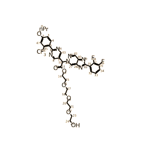 CCCOc1ccc(-c2ncc(C(C(=O)OCCOCCOCCOCCO)n3cc4nc(-c5cccc(F)c5F)nc-4cn3)cn2)c(C(F)(F)F)c1